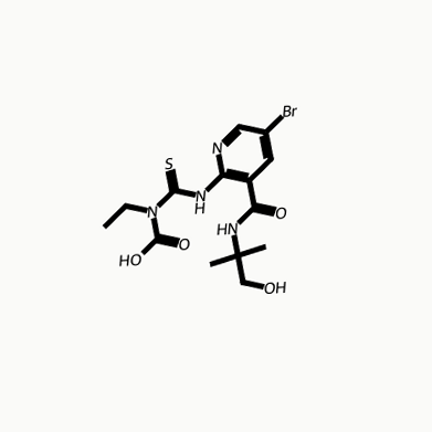 CCN(C(=O)O)C(=S)Nc1ncc(Br)cc1C(=O)NC(C)(C)CO